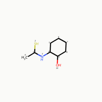 CC(S)NC1CCCCC1O